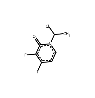 CC(Cl)n1ccc(I)c(F)c1=O